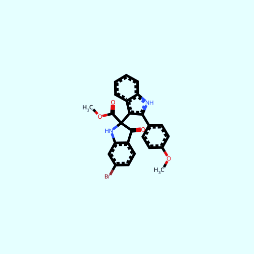 COC(=O)C1(c2c(-c3ccc(OC)cc3)[nH]c3ccccc23)Nc2cc(Br)ccc2C1=O